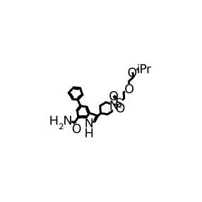 CC(C)OCCOCCS(=O)(=O)N1CCC(c2c[nH]c3c(C(N)=O)cc(-c4ccccc4)cc23)CC1